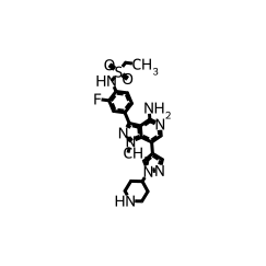 CCS(=O)(=O)Nc1ccc(-c2nn(C)c3c(-c4cnn(C5CCNCC5)c4)cnc(N)c23)cc1F